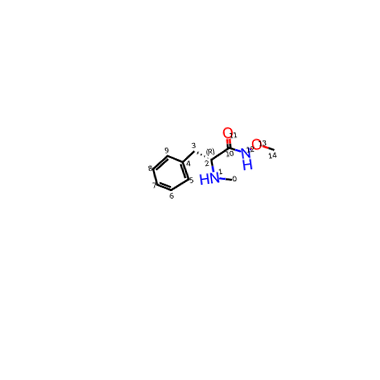 CN[C@H](Cc1ccccc1)C(=O)NOC